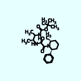 CC(NC(=O)OC(C)(C)C)[C@H](C)NC(=O)C(=O)N1[C@H](C)CCC[C@@H]1c1ccccc1